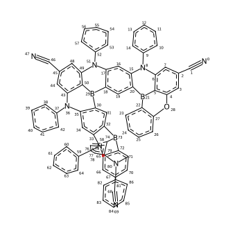 N#Cc1cc2c3c(c1)N(c1ccccc1)c1cc4c(cc1B3c1ccccc1O2)B1c2cc3c(cc2N(c2ccccc2)c2cc(C#N)cc(c21)N4c1ccccc1)N(c1ccccc1)c1cc(C#N)cc2c1B3c1ccccc1N2c1ccccc1